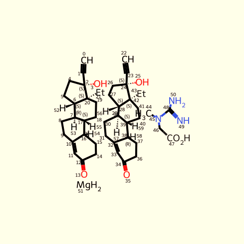 C#C[C@]1(O)CC[C@H]2[C@@H]3CCC4=CC(=O)CC[C@@H]4[C@H]3CC[C@@]21CC.C#C[C@]1(O)CC[C@H]2[C@@H]3CCC4=CC(=O)CC[C@@H]4[C@H]3CC[C@@]21CC.CN(CC(=O)O)C(=N)N.[MgH2]